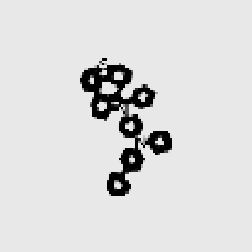 c1ccc(-c2ccc(N(c3ccccc3)c3ccc(-n4c(-c5ccccc5)c5c6c(cccc64)-c4cccc6sc7cccc-5c7c46)cc3)cc2)cc1